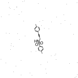 Cc1ccc(C#CCNS(=O)(=O)c2ccc(C)cc2)cc1